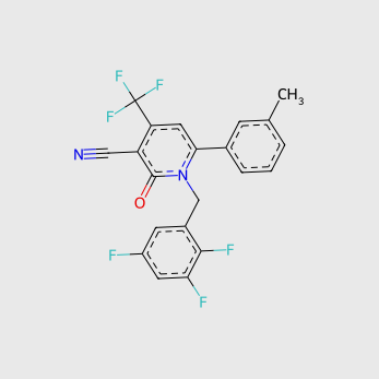 Cc1cccc(-c2cc(C(F)(F)F)c(C#N)c(=O)n2Cc2cc(F)cc(F)c2F)c1